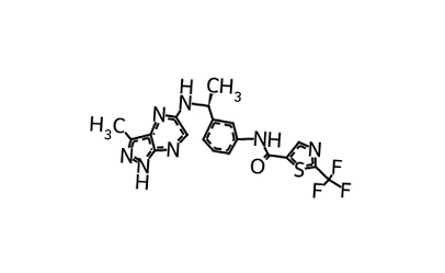 Cc1n[nH]c2ncc(N[C@@H](C)c3cccc(NC(=O)c4cnc(C(F)(F)F)s4)c3)nc12